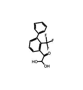 O=C(c1cccc(-c2ccccc2)c1C(F)(F)F)C(O)O